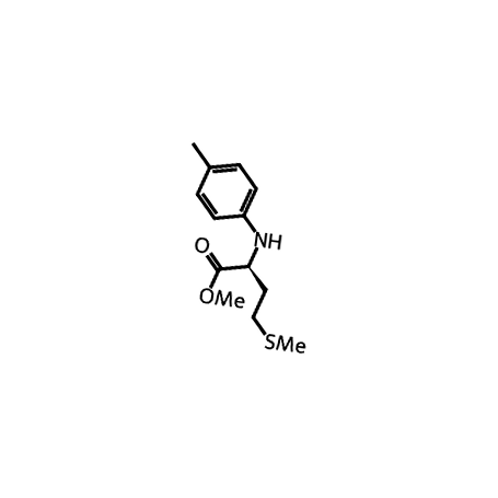 COC(=O)[C@H](CCSC)Nc1ccc(C)cc1